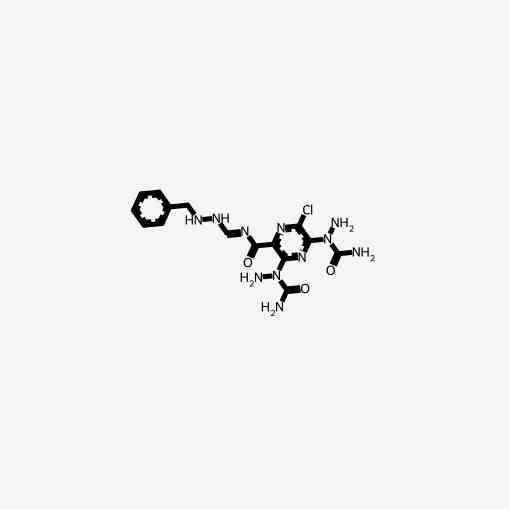 NC(=O)N(N)c1nc(N(N)C(N)=O)c(C(=O)N=CNNCc2ccccc2)nc1Cl